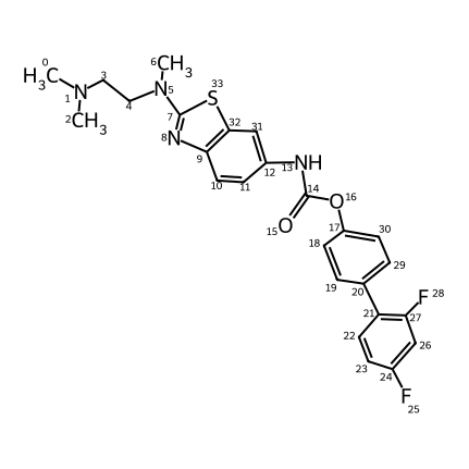 CN(C)CCN(C)c1nc2ccc(NC(=O)Oc3ccc(-c4ccc(F)cc4F)cc3)cc2s1